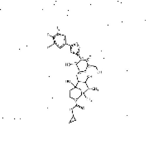 CCN(C)C(O)C(S[C@@H]1O[C@H](CO)[C@H](O)[C@H](n2cc(-c3cc(F)c(F)c(F)c3)nn2)[C@H]1O)C1(O)CCN(C(=O)NC2CC2)CC1